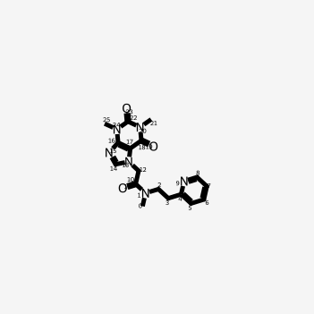 CN(CCc1ccccn1)C(=O)Cn1cnc2c1c(=O)n(C)c(=O)n2C